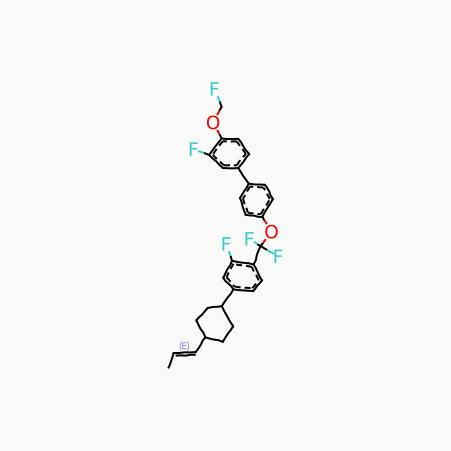 C/C=C/C1CCC(c2ccc(C(F)(F)Oc3ccc(-c4ccc(OCF)c(F)c4)cc3)c(F)c2)CC1